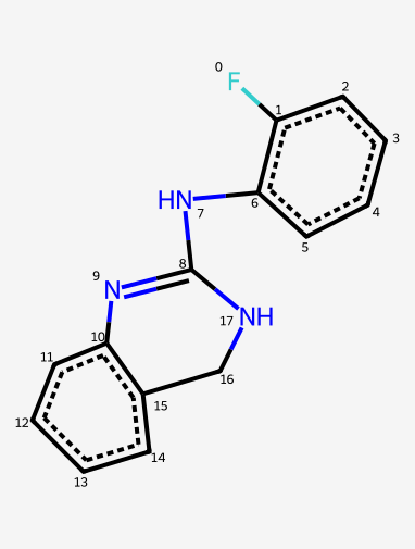 Fc1ccccc1NC1=Nc2ccccc2CN1